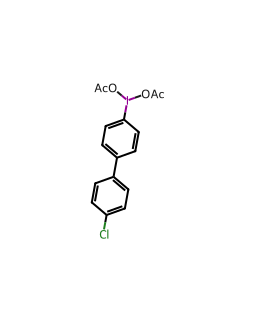 CC(=O)OI(OC(C)=O)c1ccc(-c2ccc(Cl)cc2)cc1